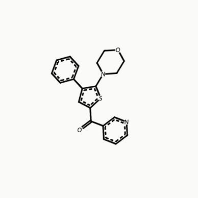 O=C(c1cccnc1)c1cc(-c2ccccc2)c(N2CCOCC2)s1